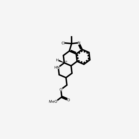 COC(=O)OCC1CN[C@@H]2CC3=c4c(cccc4=NC3(C)Cl)C2C1